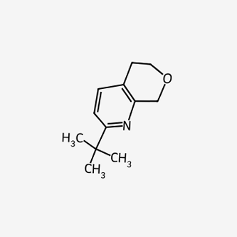 CC(C)(C)c1ccc2c(n1)COCC2